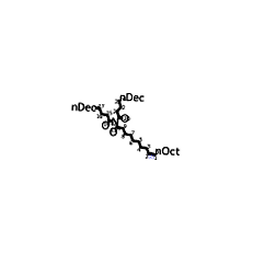 CCCCCCCC/C=C\CCCCCCCC(=O)N(C(=O)CCCCCCCCCCCCC)C(=O)CCCCCCCCCCCCC